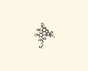 CC(=O)CCCNC(=O)c1cc(Cl)cc(-c2c(C#N)c(N)nc3sc(C(N)=O)c(N)c23)c1